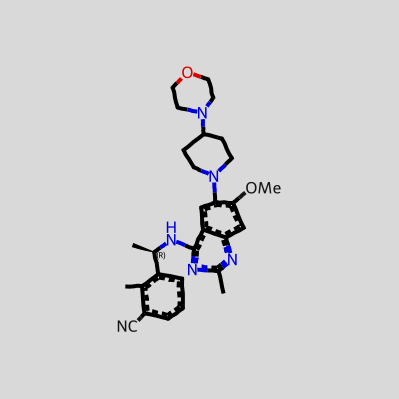 COc1cc2nc(C)nc(N[C@H](C)c3cccc(C#N)c3C)c2cc1N1CCC(N2CCOCC2)CC1